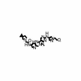 COCCn1cc(Nc2ncc3c(Nc4cc(NC(=O)CN5CCC6(CC6)C5)cnc4C)nn(C)c3n2)cn1